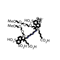 COCCOCCOCCOCCC1(C)\C(=C/C=C/C=C/C=C/C2=[N+](CCOCCOCCOC)c3ccc4c(S(=O)(=O)O)cc(S(=O)(=O)O)cc4c3C2(C)CCCS(=O)(=O)O)N(CCCCCC(=O)O)c2ccc3c(S(=O)(=O)[O-])cc(S(=O)(=O)O)cc3c21